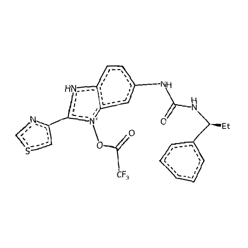 CC[C@H](NC(=O)Nc1ccc2[nH]c(-c3cscn3)[n+](OC(=O)C(F)(F)F)c2c1)c1ccccc1